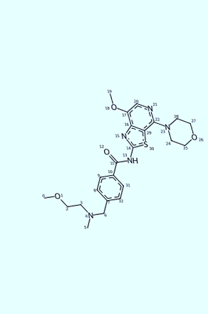 COCCN(C)Cc1ccc(C(=O)Nc2nc3c(OC)cnc(N4CCOCC4)c3s2)cc1